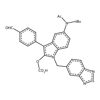 CCCCN(C(C)=O)c1ccc2c(c1)c(-c1ccc(C=O)cc1)c(OC(=O)O)n2Cc1ccc2nsnc2c1